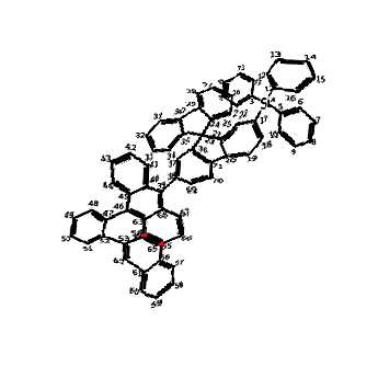 c1ccc([Si](c2ccccc2)(c2ccccc2)c2ccc3c(c2)C2(c4ccccc4-c4ccccc42)c2cc(-c4c5ccccc5c(-c5ccccc5-c5ccc6ccccc6c5)c5ccccc45)ccc2-3)cc1